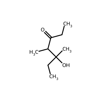 CCC(=O)C(C)C(C)(O)CC